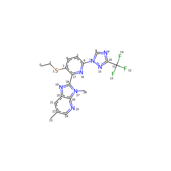 CCSc1ccc(-n2cnc(C(F)(F)F)n2)nc1-c1nc2cc(C)cnc2n1C